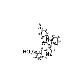 C=Cc1ccc(-n2c(=O)n(C3CCN(Cc4ncc(C(=O)O)n4C)C3)c3ncccc32)cc1